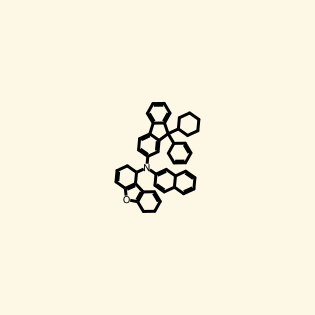 C1=CCC(C2(C3CCCCC3)c3ccccc3-c3ccc(N(C4=CC5C=CC=CC5C=C4)C4CC=Cc5oc6c(c54)C=CCC6)cc32)C=C1